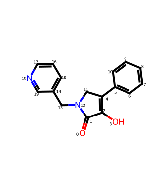 O=C1C(O)=C(c2ccccc2)CN1Cc1cccnc1